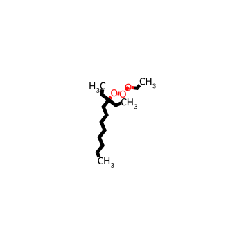 CCCCCCCCC(CC)(CC)OOOCC